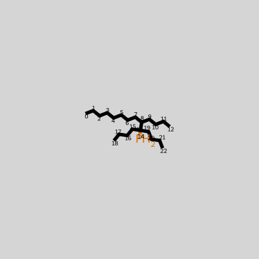 CCCCCCCCC(CCCC)C(P)(CCCC)CCCC